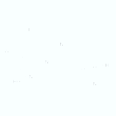 COCOc1c(C#N)cccc1-c1ccc2ncc(-c3cc(F)cc(OC4COC4)c3)c(N3CCC(NC(=O)O)CC3)c2c1